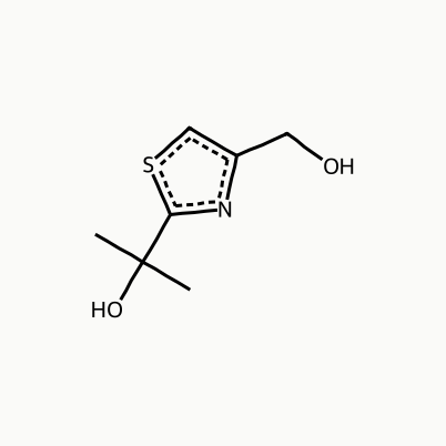 CC(C)(O)c1nc(CO)cs1